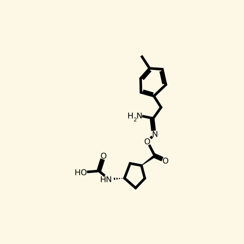 Cc1ccc(C/C(N)=N/OC(=O)[C@H]2CC[C@H](NC(=O)O)C2)cc1